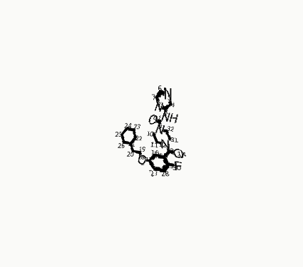 O=C(Nc1cnccn1)N1CCN(C(=O)c2cc(OCCC3CCCCC3)ccc2F)CC1